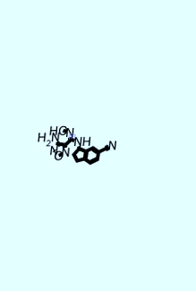 N#Cc1ccc2c(c1)C(N/C(=N/O)c1nonc1N)CC2